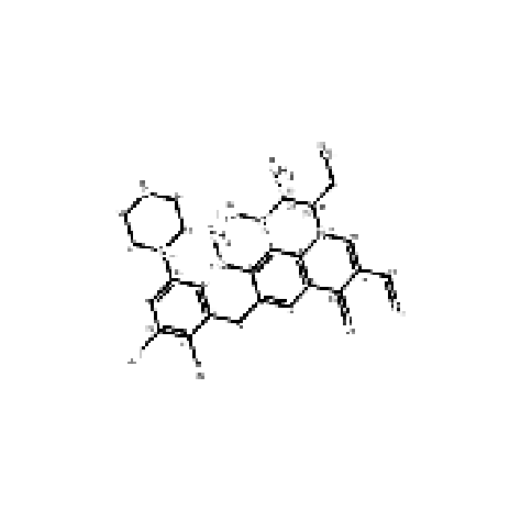 COc1cc2c(cc1Cc1cc(N3CCOCC3)cc(I)c1F)c(=O)c(C=O)cn2[C@H](CO)[C@@H](C)OC